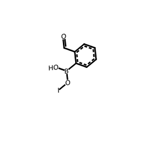 O=Cc1ccccc1B(O)OI